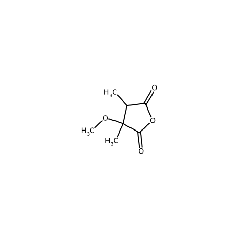 COC1(C)C(=O)OC(=O)C1C